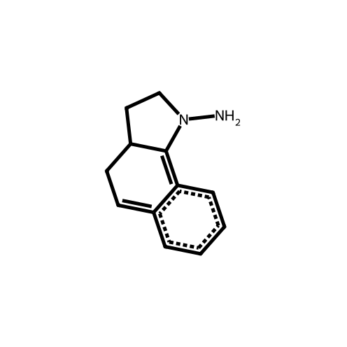 NN1CCC2CC=c3ccccc3=C21